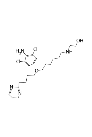 Nc1c(Cl)cccc1Cl.OCCNCCCCCCOCCCCc1ncccn1